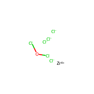 ClOCl.[Cl-].[Cl-].[Cl-].[Cl-].[Zr+4]